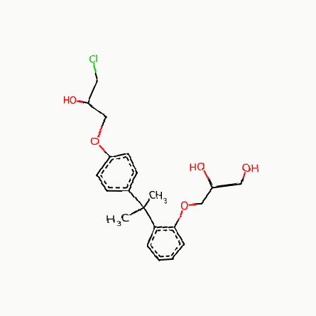 CC(C)(c1ccc(OCC(O)CCl)cc1)c1ccccc1OCC(O)CO